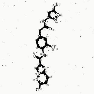 CC(C)(C)c1cc(NC(=O)Cc2ccc(NC(=O)c3cn4nc(Cl)ccc4n3)c(C(F)(F)F)c2)no1